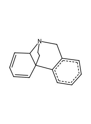 C1=CC2N3CCC2(C=C1)c1ccccc1C3